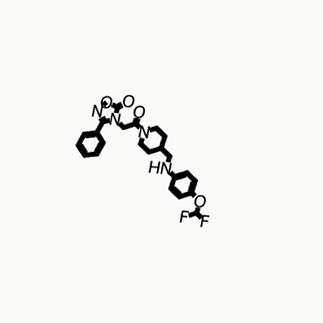 O=C(Cn1c(-c2ccccc2)noc1=O)N1CCC(CNc2ccc(OC(F)F)cc2)CC1